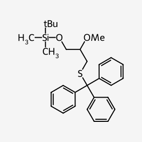 COC(CO[Si](C)(C)C(C)(C)C)CSC(c1ccccc1)(c1ccccc1)c1ccccc1